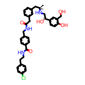 C[C@H](Cc1cccc(CC(=O)NCc2ccc(C(=O)NCCc3ccc(Cl)cc3)cc2)c1)NC[C@@H](O)c1ccc(O)c(CO)c1